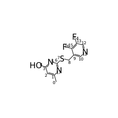 Cc1cc(O)nc(SCc2cncc(F)c2F)n1